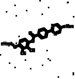 CCCCCCCCCc1cnc(-c2ccc(C(=O)Oc3ccc(OCCCCCCC)c(C#N)c3C#N)cc2)nc1